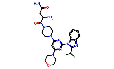 NC(=O)C[C@@H](N)C(=O)N1CCN(c2cc(N3CCOCC3)nc(-n3c(C(F)F)nc4ccccc43)n2)CC1